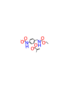 C=C(C)C(=O)Oc1cc(NC(=O)OC)ccc1CNC(=O)OCC